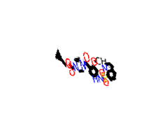 COc1cc(NS(=O)(=O)c2cccc3cccnc23)ccc1C(=O)N1CCN(C(=O)OCC2CC2)CC1